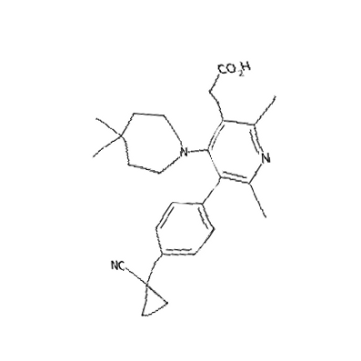 Cc1nc(C)c(-c2ccc(C3(C#N)CC3)cc2)c(N2CCC(C)(C)CC2)c1CC(=O)O